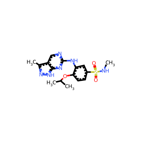 CNS(=O)(=O)c1ccc(OC(C)C)c(Nc2ncc3c(C)n[nH]c3n2)c1